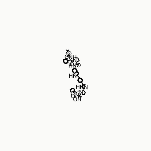 CC(C)(C)OC(=O)NC(C(=O)N1CCCC1C(=O)Nc1ccc2[nH]c(-c3ccc(-c4cnc([C@@H]5CCCN5C[C@H](C5=CC=CCO5)N(C(=O)O)C(C)(C)C)[nH]4)cc3)cc2c1)c1ccccc1